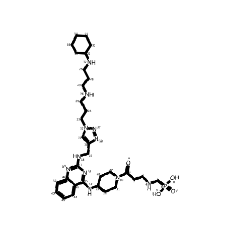 O=C(CCNCP(=O)(O)O)N1CCC(Nc2nc(NCc3cn(CCCNCCCNC4CCCCC4)nn3)nc3ccccc23)CC1